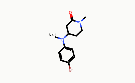 CN1CCC(N(C)c2ccc(Br)cc2)CC1=O.[NaH]